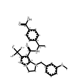 COc1cccc(CN2CCn3nc(C(F)(F)F)c(C(=O)NC(C)c4ccc(C(=O)O)cc4)c32)c1